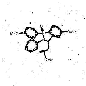 COC(=O)CC1c2cc(OC)ccc2P(=O)(c2ccc(OC)cc2)N1c1ccccc1